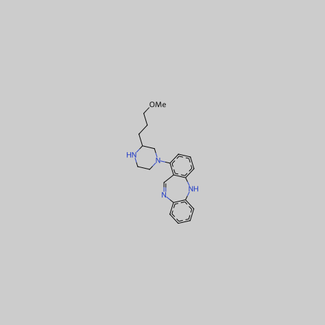 COCCCC1CN(c2cccc3c2C=Nc2ccccc2N3)CCN1